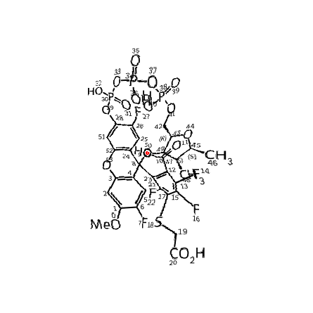 COc1cc2c(cc1F)C1(OC(=O)c3c(F)c(F)c(SCC(=O)O)c(F)c31)c1cc(F)c(OP(=O)(O)OP(=O)(O)OP(=O)(O)OC[C@H]3O[C@@H](C)[C@@H](C)C3O)cc1O2